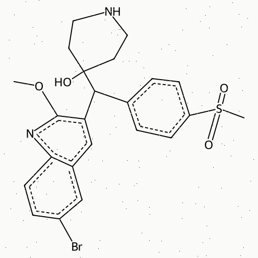 COc1nc2ccc(Br)cc2cc1C(c1ccc(S(C)(=O)=O)cc1)C1(O)CCNCC1